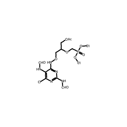 CCOP(=O)(COC(CONc1nc(NC=O)nc(Cl)c1NC=O)COC(C)=O)OCC